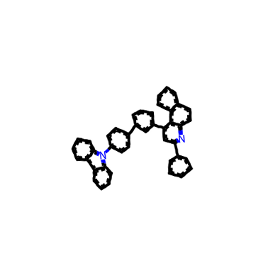 c1ccc(-c2cc(-c3cccc(-c4ccc(-n5c6ccccc6c6ccccc65)cc4)c3)c3c(ccc4ccccc43)n2)cc1